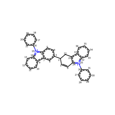 C1=CC(c2ccc3c(c2)c2ccccc2n3-c2ccccc2)Cc2c1n(-c1ccccc1)c1ccccc21